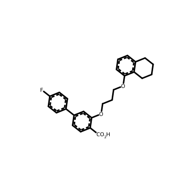 O=C(O)c1ccc(-c2ccc(F)cc2)cc1OCCCOc1cccc2c1CCCC2